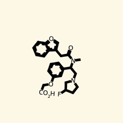 CN(C(=O)Cc1coc2ccccc12)C(CN1CCC(F)C1)c1cccc(OCC(=O)O)c1